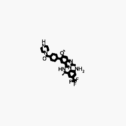 COc1cc2nc(C)nc(N[C@H](C)c3cc(N)cc(C(F)(F)F)c3)c2cc1C1CCC(C(=O)N2CCNCC2)CC1